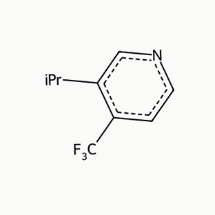 CC(C)c1cnccc1C(F)(F)F